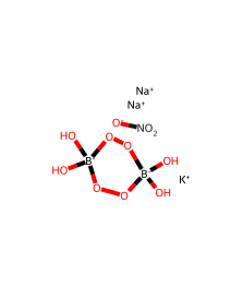 O=[N+]([O-])[O-].O[B-]1(O)OO[B-](O)(O)OO1.[K+].[Na+].[Na+]